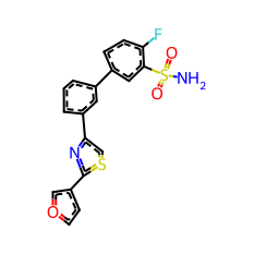 NS(=O)(=O)c1cc(-c2cccc(-c3csc(-c4ccoc4)n3)c2)ccc1F